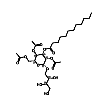 CCCCCCCCCCCC(=O)O[C@@H]1[C@H](OC(C)=O)[C@H](OC[C@H](O)[C@H](O)CO)O[C@H](COC(C)=O)[C@H]1OC(C)=O